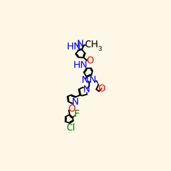 Cc1n[nH]c2ccc(C(=O)Nc3ccc4c(c3)nc(CN3CC=C(c5cccc(OCc6ccc(Cl)cc6F)n5)CC3)n4C[C@@H]3CCO3)cc12